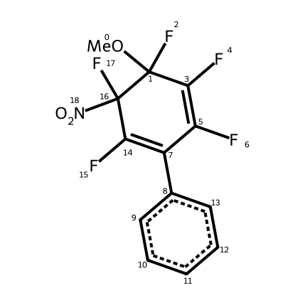 COC1(F)C(F)=C(F)C(c2ccccc2)=C(F)C1(F)[N+](=O)[O-]